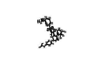 CC(C)Cc1ccc(-c2cnc(N3CCC(C)C3(C)C)c(C(=O)NS(=O)(=O)c3cccc(N)n3)c2)cc1